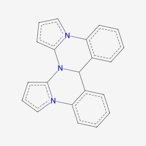 c1ccc2c(c1)C1c3ccccc3-n3cccc3N1c1cccn1-2